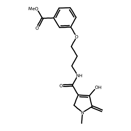 C=C1C(O)=C(C(=O)NCCCOc2cccc(C(=O)OC)c2)CN1C